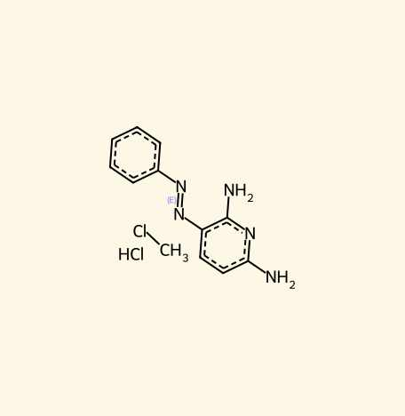 CCl.Cl.Nc1ccc(/N=N/c2ccccc2)c(N)n1